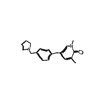 Cc1cc(-c2ccc(CN3CCCC3)cc2)cn(C)c1=O